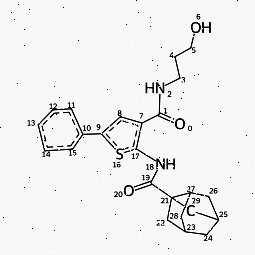 O=C(NCCCO)c1cc(-c2ccccc2)sc1NC(=O)C12CC3CC(CC1C3)C2